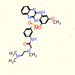 COc1cc(O)cc(Nc2nc3ccccc3nc2NS(=O)(=O)c2cccc(NC(=O)CN(C)CCN(C)C)c2)c1